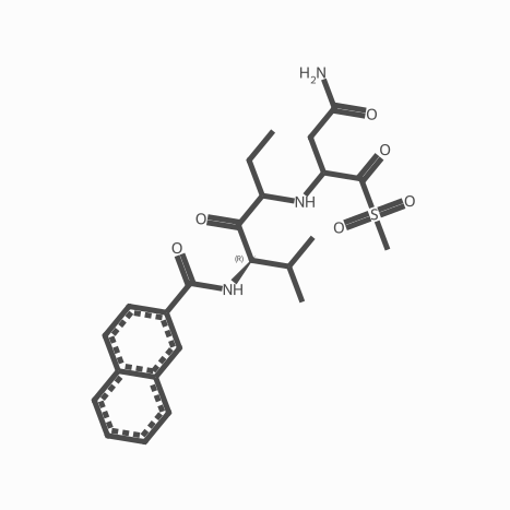 CCC(NC(CC(N)=O)C(=O)S(C)(=O)=O)C(=O)[C@H](NC(=O)c1ccc2ccccc2c1)C(C)C